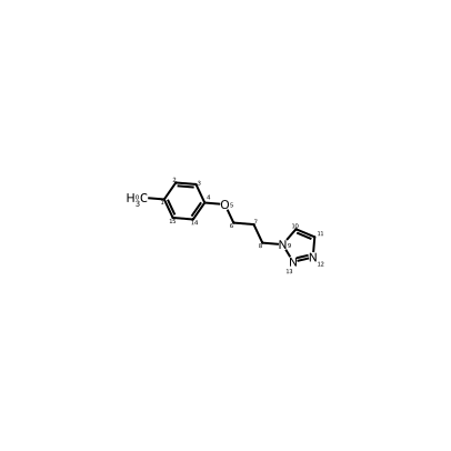 Cc1ccc(OCCCn2ccnn2)cc1